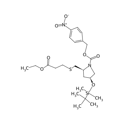 CCOC(=O)CCSC[C@@H]1C[C@H](O[Si](C)(C)C(C)(C)C)CN1C(=O)OCc1ccc([N+](=O)[O-])cc1